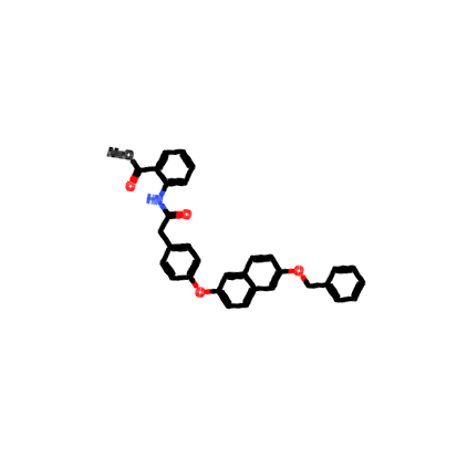 COC(=O)c1ccccc1NC(=O)Cc1ccc(Oc2ccc3cc(OCc4ccccc4)ccc3c2)cc1